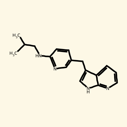 CC(C)CNc1ccc(Cc2c[nH]c3ncccc23)cn1